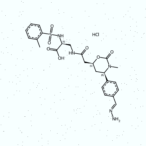 Cc1ccccc1S(=O)(=O)N[C@@H](CNC(=O)C[C@@H]1C[C@H](c2ccc(C=NN)cc2)N(C)C(=O)O1)C(=O)O.Cl